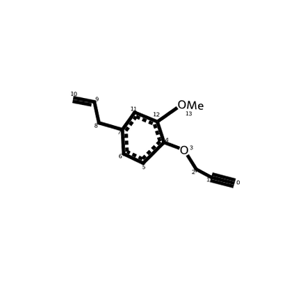 C#C[CH]Oc1ccc(CC=C)cc1OC